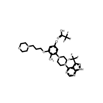 Cc1c(OCCCN2CCOCC2)cc(Cl)cc1N1CCN(c2ncnc3[nH]nc(C(F)(F)F)c23)CC1.O=C(O)C(F)(F)F